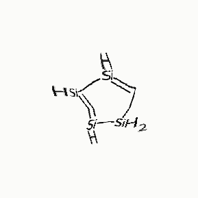 C1=[SiH][SiH]=[SiH][SiH2]1